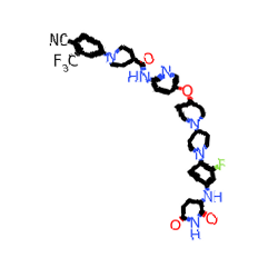 N#Cc1ccc(N2CCC(C(=O)Nc3ccc(OC4CCN(C5CCN(c6ccc(NC7CCC(=O)NC7=O)cc6F)CC5)CC4)cn3)CC2)cc1C(F)(F)F